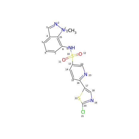 Cn1ncc2cccc(NS(=O)(=O)c3ccc(-c4cnc(Cl)s4)nc3)c21